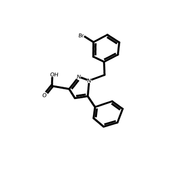 O=C(O)c1cc(-c2ccccc2)n(Cc2cccc(Br)c2)n1